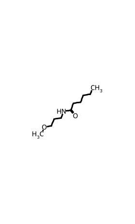 CCCCCC(=O)NCCCOC